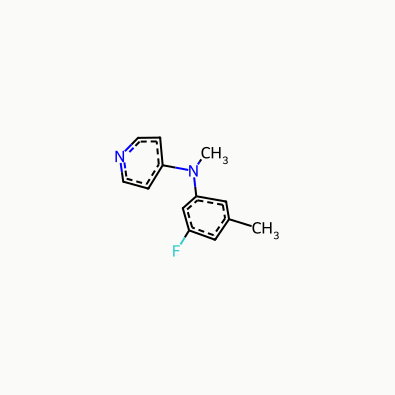 Cc1cc(F)cc(N(C)c2ccncc2)c1